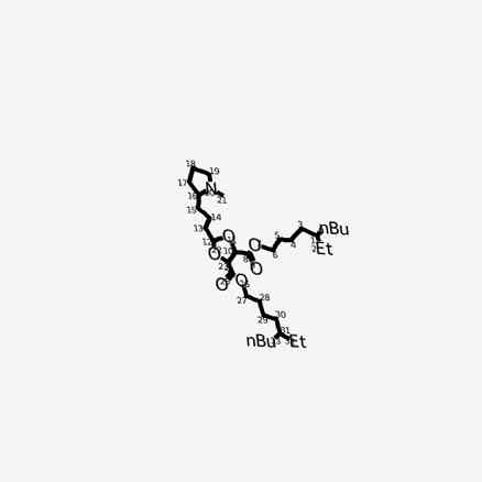 CCCCC(CC)CCCCOC(=O)C1OC(CCCC2CCCN2C)OC1C(=O)OCCCCC(CC)CCCC